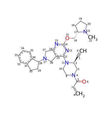 C#C[C@H]1CN(C(=O)C=C)CCN1c1nc(OC[C@@H]2CCCN2C)nc2c1CN(C1CCc3ccccc31)C2